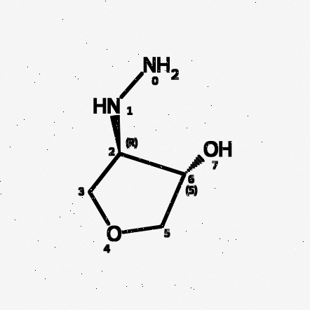 NN[C@@H]1COC[C@H]1O